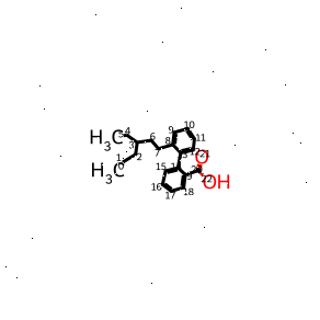 CCCC(CC)CCc1ccccc1-c1ccccc1C(=O)O